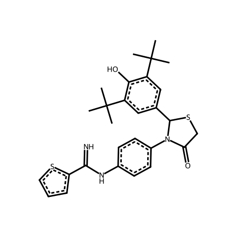 CC(C)(C)c1cc(C2SCC(=O)N2c2ccc(NC(=N)c3cccs3)cc2)cc(C(C)(C)C)c1O